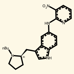 CCCCN1CCC[C@@H]1Cc1c[nH]c2ccc(Nc3ncccc3[N+](=O)[O-])cc12